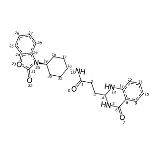 O=C(CCC1NC(=O)c2ccccc2N1)N[C@H]1CC[C@H](n2c(=O)oc3ccccc32)CC1